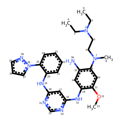 CCN(CC)CCN(C)c1cc(OC)c(Nc2cc(Nc3ccccc3-n3cccn3)ncn2)cc1N